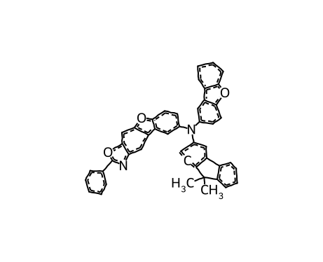 CC1(C)c2ccccc2-c2cc(N(c3ccc4oc5ccccc5c4c3)c3ccc4oc5cc6oc(-c7ccccc7)nc6cc5c4c3)ccc21